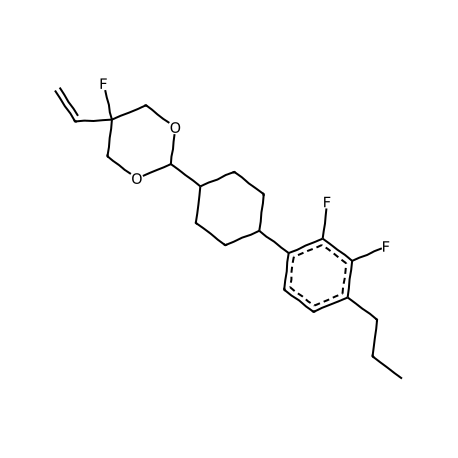 C=CC1(F)COC(C2CCC(c3ccc(CCC)c(F)c3F)CC2)OC1